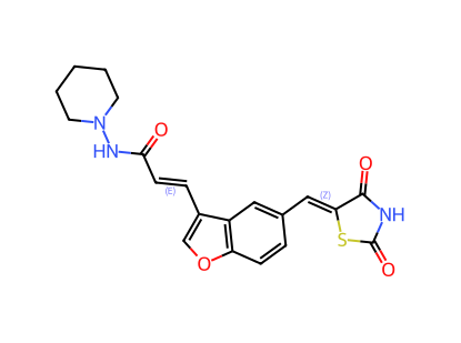 O=C(/C=C/c1coc2ccc(/C=C3\SC(=O)NC3=O)cc12)NN1CCCCC1